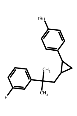 CC(C)(C)c1ccc(C2CC2CC(C)(C)c2cccc(F)c2)cc1